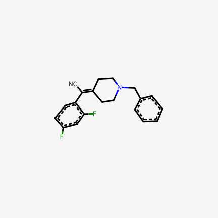 N#CC(=C1CCN(Cc2ccccc2)CC1)c1ccc(F)cc1F